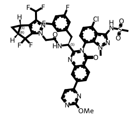 COc1nccc(-c2ccc3c(=O)n(-c4ccc(Cl)c5c(NS(C)(=O)=O)nn(C)c45)c([C@H](Cc4cc(F)cc(F)c4)NC(=O)Cn4nc(C(F)F)c5c4C(F)(F)[C@@H]4C[C@H]54)nc3c2)n1